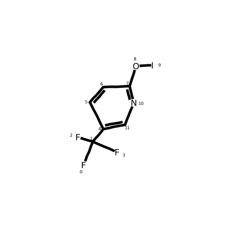 FC(F)(F)c1ccc(OI)nc1